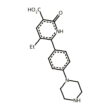 CCc1cc(C(=O)O)c(=O)[nH]c1-c1ccc(N2CCNCC2)cc1